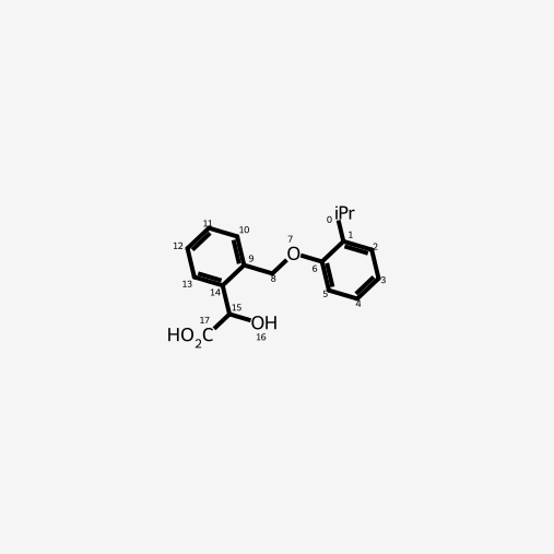 CC(C)c1ccccc1OCc1ccccc1C(O)C(=O)O